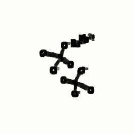 O=S(=O)([O-])[O-].O=S(=O)([O-])[O-].[Ba+2].[Pb+2]